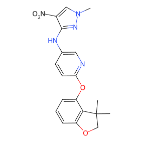 Cn1cc([N+](=O)[O-])c(Nc2ccc(Oc3cccc4c3C(C)(C)CO4)nc2)n1